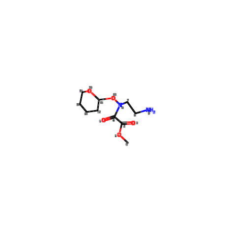 COC(=O)C(=O)N(CCN)OC1CCCCO1